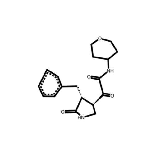 O=C(NC1CCOCC1)C(=O)[C@H]1CNC(=O)[C@@H]1Cc1ccccc1